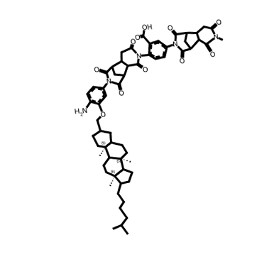 CC(C)CCCCC1CCC2[C@]3(C)CCC4CC(COc5cc(N6C(=O)C7CC(C6=O)C6C(=O)N(c8ccc(N9C(=O)C%10CC(C9=O)C9C(=O)N(C)C(=O)CC%109)cc8C(=O)O)C(=O)CC76)ccc5N)CC[C@]4(C)C3CC[C@]12C